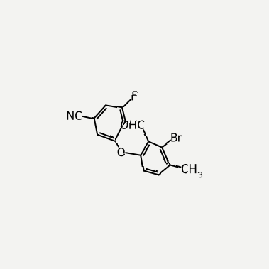 Cc1ccc(Oc2cc(F)cc(C#N)c2)c(C=O)c1Br